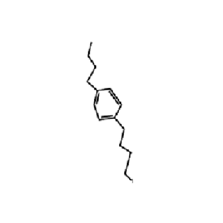 CCCCc1ccc(CCCCI)cc1